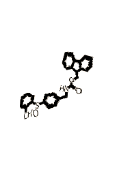 O=Cc1ccccc1Sc1ccc(CNC(=O)OCC2c3ccccc3-c3ccccc32)cc1